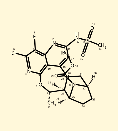 C[C@@H]1Oc2nc(Cl)c(F)c3nc(NS(C)(=O)=O)nc(c23)N2C[C@H]3CC[C@@H]([C@@H]12)N3C(=O)OC(C)(C)C